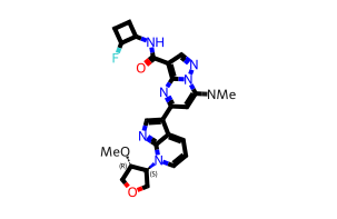 CNc1cc(-c2cnc3n([C@H]4COC[C@@H]4OC)cccc2-3)nc2c(C(=O)NC3CCC3F)cnn12